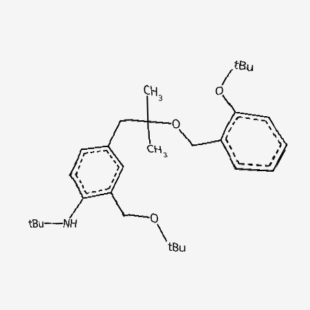 CC(C)(C)Nc1ccc(CC(C)(C)OCc2ccccc2OC(C)(C)C)cc1COC(C)(C)C